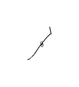 CCCCCCCC/C=C\CCCCCCCCCCCCOC(=O)CCCCCCCCCCCCCCCCCCCCCC